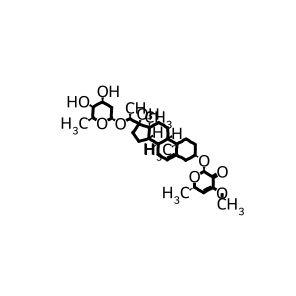 COC1=C[C@H](C)O[C@@H](O[C@H]2CC[C@@]3(C)C(=CC[C@@H]4[C@@H]3CC[C@@]3(C)[C@H]4CC[C@]3(O)[C@H](C)O[C@@H]3C[C@H](O)[C@H](O)[C@H](C)O3)C2)C1=O